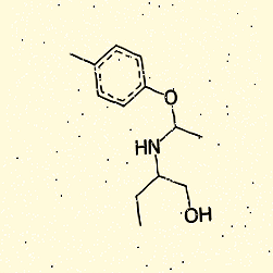 CCC(CO)NC(C)Oc1ccc(C)cc1